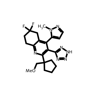 COCC1(c2nc3c(c(-c4ccnn4C)c2-c2nn[nH]n2)CC(F)(F)CC3)CCCC1